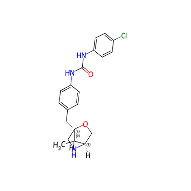 C[C@@H]1[C@H]2CO[C@]1(Cc1ccc(NC(=O)Nc3ccc(Cl)cc3)cc1)CN2